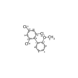 COc1ccccc1-c1c(Cl)[c]c(Cl)cc1Cl